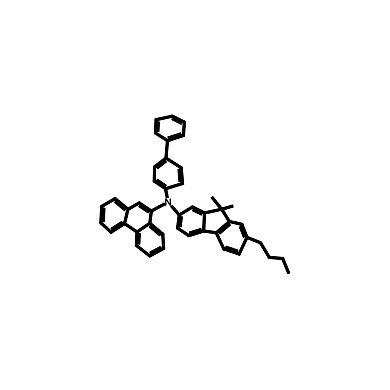 CCCCc1ccc2c(c1)C(C)(C)c1cc(N(c3ccc(-c4ccccc4)cc3)c3cc4ccccc4c4ccccc34)ccc1-2